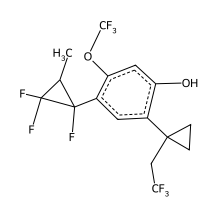 CC1C(F)(F)C1(F)c1cc(C2(CC(F)(F)F)CC2)c(O)cc1OC(F)(F)F